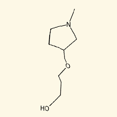 CN1CCC(OCCO)C1